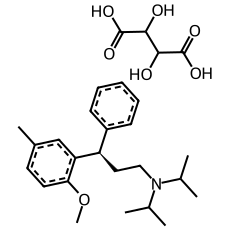 COc1ccc(C)cc1[C@H](CCN(C(C)C)C(C)C)c1ccccc1.O=C(O)C(O)C(O)C(=O)O